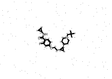 CC(C)(C)CN1CCC([C@H]2C[C@H]2CCOc2ccc(C(=O)NC3CC3)c(F)c2)CC1